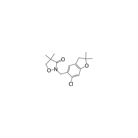 CC1(C)Cc2cc(CN3OCC(C)(C)C3=O)c(Cl)cc2O1